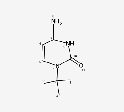 CC(C)(C)N1C=CC(N)NC1=O